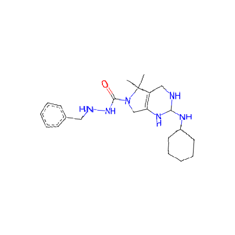 CC1(C)C2=C(CN1C(=O)NNCc1ccccc1)NC(NC1CCCCC1)NC2